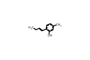 CCC=Cc1ccc(C)cc1O